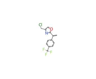 C=C(c1ccc(C(F)(F)F)cc1)c1nc(CCl)co1